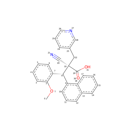 COc1ccccc1[C@@H](c1cccc2ccccc12)[C@@](C#N)(Cc1cccnc1)C(=O)O